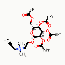 C#CC[N+](C)(C)CCO[C@@H]1O[C@H](COC(=O)CCC)[C@@H](OC(=O)CCC)[C@H](OC(=O)CCC)[C@H]1OC(=O)CCC